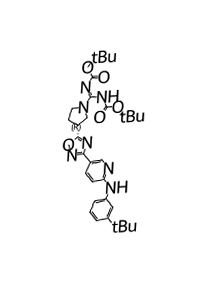 CC(C)(C)OC(=O)N=C(NC(=O)OC(C)(C)C)N1CC[C@@H](c2nc(-c3ccc(Nc4cccc(C(C)(C)C)c4)nc3)no2)C1